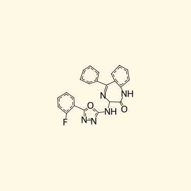 O=C1Nc2ccccc2C(c2ccccc2)=NC1Nc1nnc(-c2ccccc2F)o1